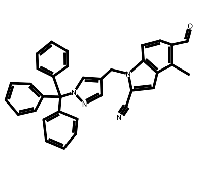 Cc1c(C=O)ccc2c1cc(C#N)n2Cc1cnn(C(c2ccccc2)(c2ccccc2)c2ccccc2)c1